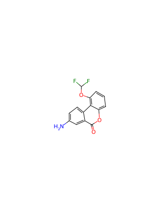 Nc1ccc2c(c1)c(=O)oc1cccc(OC(F)F)c12